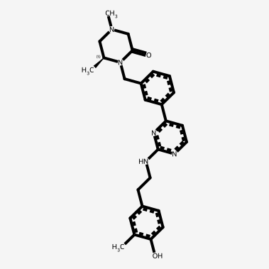 Cc1cc(CCNc2nccc(-c3cccc(CN4C(=O)CN(C)C[C@@H]4C)c3)n2)ccc1O